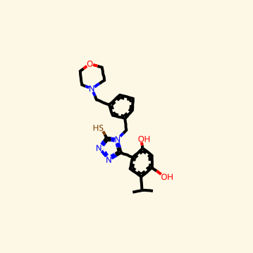 CC(C)c1cc(-c2nnc(S)n2Cc2cccc(CN3CCOCC3)c2)c(O)cc1O